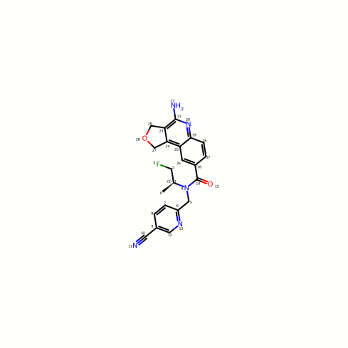 C[C@@H](CF)N(Cc1ccc(C#N)cn1)C(=O)c1ccc2nc(N)c3c(c2c1)COC3